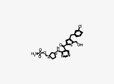 NS(=O)(=O)OC[C@@H]1CC[C@H](Nc2ncncc2C(=O)c2cc(Cc3cccc(Cl)c3)c(CO)s2)C1